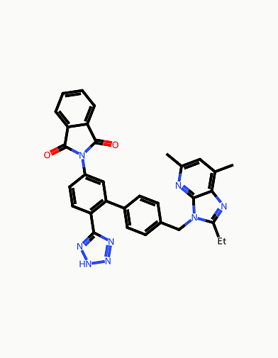 CCc1nc2c(C)cc(C)nc2n1Cc1ccc(-c2cc(N3C(=O)c4ccccc4C3=O)ccc2-c2nn[nH]n2)cc1